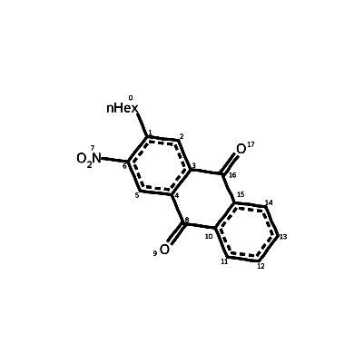 CCCCCCc1cc2c(cc1[N+](=O)[O-])C(=O)c1ccccc1C2=O